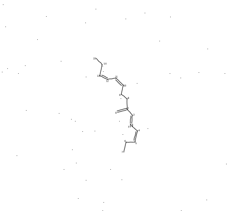 C=C(/C=N/C=C\CC)CC/C=C\C=C/CC